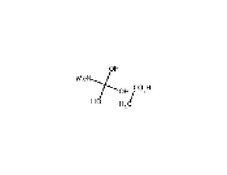 CC(=O)O.CNC(O)(O)O